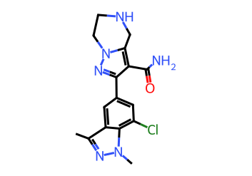 Cc1nn(C)c2c(Cl)cc(-c3nn4c(c3C(N)=O)CNCC4)cc12